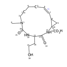 CN1CCCC/C=C\C2CC2(C(=O)O)NC(=O)C(CCO)NC1=O